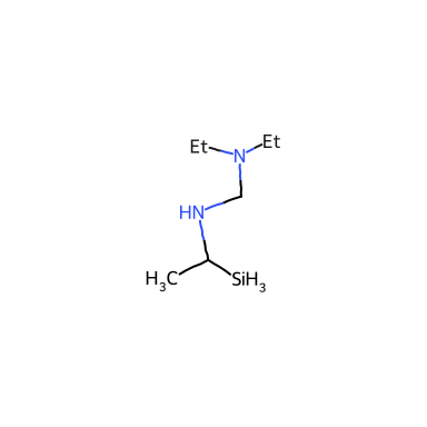 CCN(CC)CNC(C)[SiH3]